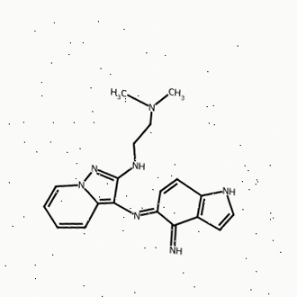 CN(C)CCNc1nn2ccccc2c1N=C1C=Cc2[nH]ccc2C1=N